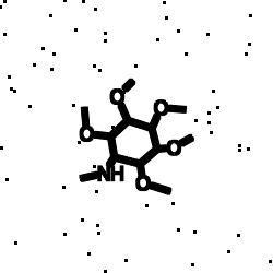 CNC1C(OC)C(OC)C(OC)C(OC)C1OC